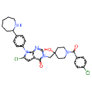 O=C(c1ccc(Cl)cc1)N1CCC(O)(Cn2cnc3c(cc(Cl)n3-c3ccc(C4CCCCCN4)cc3)c2=O)CC1